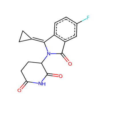 O=C1CCC(N2C(=O)c3cc(F)ccc3C2=C2CC2)C(=O)N1